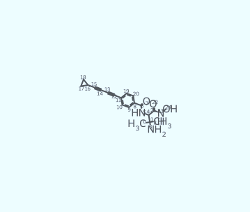 CC(C)(N)C(NC(=O)c1ccc(C#CC#CC2CC2)cc1)C(=O)NO